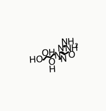 Nc1nc2c(ncn2CC(O)C(O)CO)c(=O)[nH]1